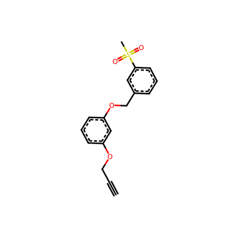 C#CCOc1cccc(OCc2cccc(S(C)(=O)=O)c2)c1